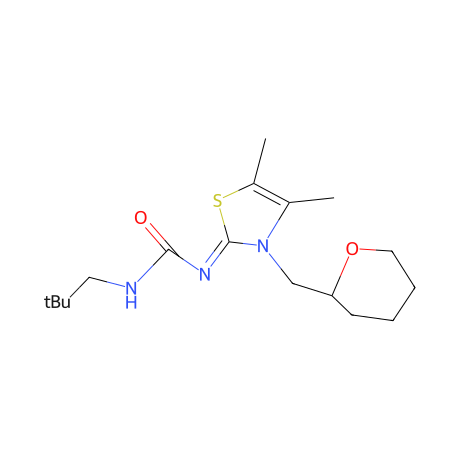 Cc1s/c(=N\C(=O)NCC(C)(C)C)n(CC2CCCCO2)c1C